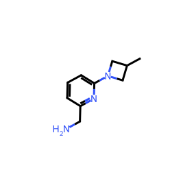 CC1CN(c2cccc(CN)n2)C1